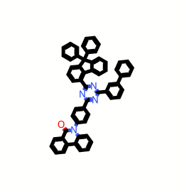 O=c1c2ccccc2c2ccccc2n1-c1ccc(-c2nc(-c3cccc(-c4ccccc4)c3)nc(-c3cccc4c3-c3ccccc3C4(c3ccccc3)c3ccccc3)n2)cc1